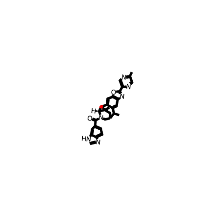 Cc1cnc(-c2nc3cc4c(cc3o2)C[C@H]2N(C(=O)c3ccc5nc[nH]c5c3)CC(CC2(C)C)C4C)cn1